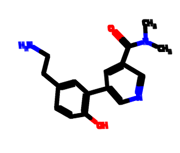 CN(C)C(=O)c1cncc(-c2cc(CCN)ccc2O)c1